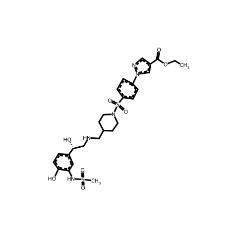 CCOC(=O)c1cnn(-c2ccc(S(=O)(=O)N3CCC(CNC[C@@H](O)c4ccc(O)c(NS(C)(=O)=O)c4)CC3)cc2)c1